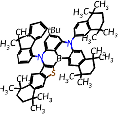 CC(C)(C)c1cc2c3c(c1)N(c1cccc4c1-c1ccccc1C4(C)C)c1c(sc4cc5c(cc14)C(C)(C)CCC5(C)C)B3c1cc3c(cc1N2c1ccc2c(c1)C(C)(C)CCC2(C)C)C(C)(C)CCC3(C)C